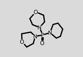 O=P(N1CCCCC1)(N1CCOCC1)N1CCOCC1